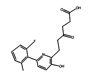 Cc1cccc(F)c1-c1ccc(O)c(CCC(=O)CCC(=O)O)n1